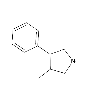 CC1C[N]CC1c1ccccc1